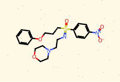 O=[N+]([O-])c1ccc(S(=O)(CCCOc2ccccc2)=NCCN2CCOCC2)cc1